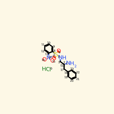 Cl.N[C@H](CNS(=O)(=O)c1ccccc1[N+](=O)[O-])Cc1ccccc1